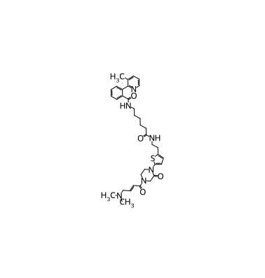 Cc1cccnc1-c1ccccc1C(=O)NCCCCCC(=O)NCCc1ccc(N2CCN(C(=O)C=CCN(C)C)CC2=O)s1